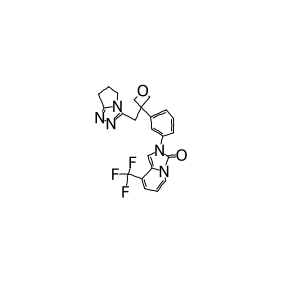 O=c1n(-c2cccc(C3(Cc4nnc5n4CCC5)COC3)c2)cc2c(C(F)(F)F)cccn12